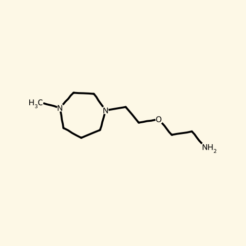 CN1CCCN(CCOCCN)CC1